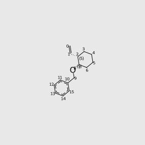 C=C[C@@H]1CCCC[C@@H]1OCc1ccccc1